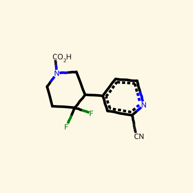 N#Cc1cc(C2CN(C(=O)O)CCC2(F)F)ccn1